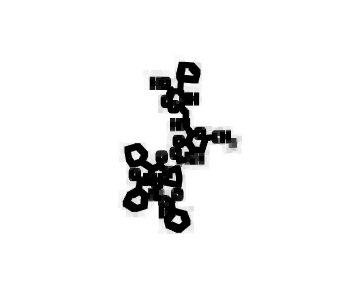 CCCC(NC(=O)[C@@H]1C[C@@H](OCc2ccccc2)CN1C(=O)C(NC(=O)c1ccccc1[N+](=O)O)C1CCCCC1)C(=O)C(=O)NCC(=O)NC(C(=O)O)c1ccccc1